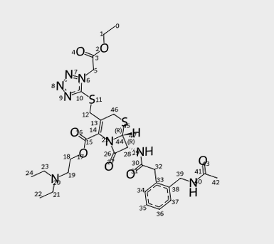 CCOC(=O)Cn1nnnc1SCC1=C(C(=O)OCCN(CC)CC)N2C(=O)[C@@H](NC(=O)Cc3ccccc3CNC(C)=O)[C@H]2SC1